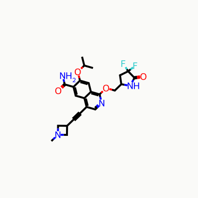 CC(C)Oc1cc2c(OCC3CC(F)(F)C(=O)N3)ncc(C#CC3CN(C)C3)c2cc1C(N)=O